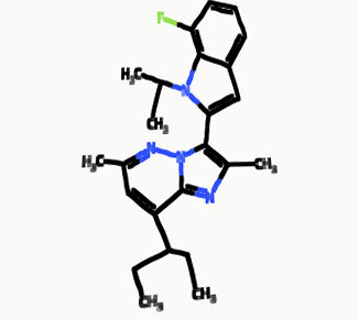 CCC(CC)c1cc(C)nn2c(-c3cc4cccc(F)c4n3C(C)C)c(C)nc12